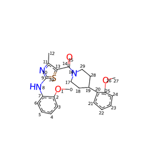 COc1ccccc1Nc1nc(C)c(C(=O)N2CCC(c3ccccc3OC)CC2)s1